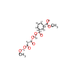 COCOC(=O)CC(=O)OCOC(=O)c1cccc(C(=O)OC)c1